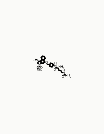 CC(C)(C)OC(=O)N1C[C@@H](CCl)c2c1cc(OCc1ccc(NC(=O)C(N)CCCNC(N)=O)cc1)c1ccccc21